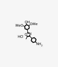 COc1cc(-c2nc(-c3ccc(N)cc3)c(C)o2)cc(OC)c1O.Cl